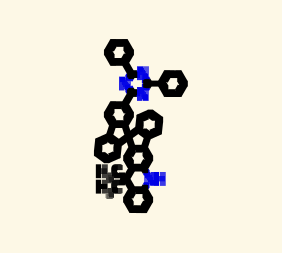 CC1(C)c2ccccc2Nc2cc3c(cc21)C1(c2ccccc2-c2ccc(-c4nc(-c5ccccc5)nc(-c5ccccc5)n4)cc21)c1ccccc1-3